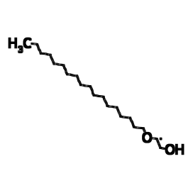 CCCCCCCCCCCCCCCCCCO[CH]CO